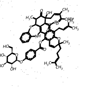 COC(=O)/C(C)=C\CC1(O)C(=O)C(C)C2Sc3ccccc3NC3=C2C1(C(C)C(C)C)Oc1c(CC=C(C)C)c2c(c(OC(=O)c4ccc(O[C@@H]5O[C@H](CO)[C@@H](O)[C@H](O)[C@H]5O)cc4)c13)C=CC(C)(CCC=C(C)C)O2